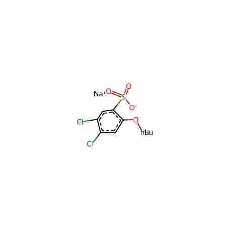 CCCCOc1cc(Cl)c(Cl)cc1S(=O)(=O)[O-].[Na+]